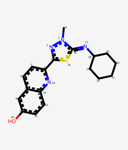 Cn1nc(-c2ccc3cc(O)ccc3n2)sc1=NC1CCCCC1